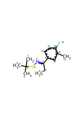 CC/C(=N\SC(C)(C)C)c1ccc(F)c(C)c1